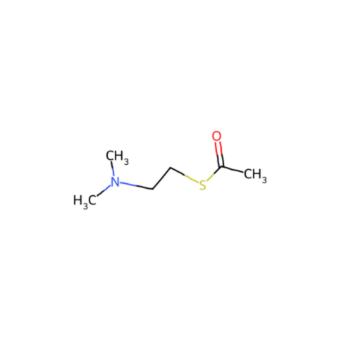 CC(=O)SCCN(C)C